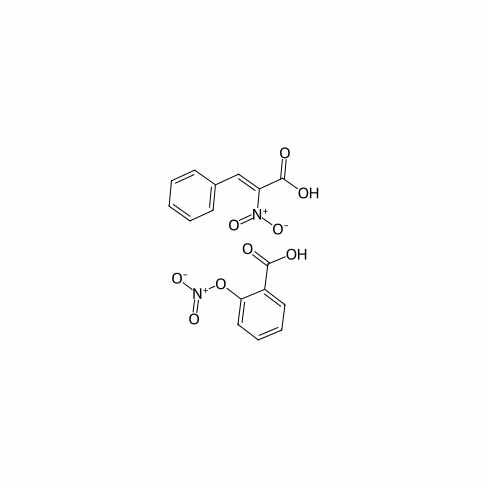 O=C(O)C(=Cc1ccccc1)[N+](=O)[O-].O=C(O)c1ccccc1O[N+](=O)[O-]